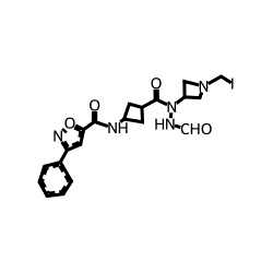 O=CNN(C(=O)C1CC(NC(=O)c2cc(-c3ccccc3)no2)C1)C1CN(CI)C1